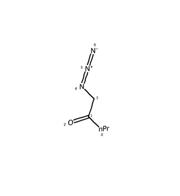 [CH2]CCC(=O)CN=[N+]=[N-]